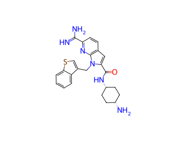 N=C(N)c1ccc2cc(C(=O)N[C@H]3CC[C@@H](N)CC3)n(Cc3csc4ccccc34)c2n1